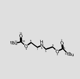 CC(C)(C)C(=O)OCCNCCOC(=O)C(C)(C)C